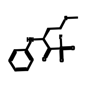 CSCC[C@H](Nc1ccccc1)C(=O)S(=O)(=O)F